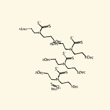 CCCCCCCCCCCCN(CCCCCCCCCCCC)C(=S)[S-].CCCCCCCCCCCCN(CCCCCCCCCCCC)C(=S)[S-].CCCCCCCCCCCCN(CCCCCCCCCCCC)C(=S)[S-].CCCCCCCCCCCCN(CCCCCCCCCCCC)C(=S)[S-].O=S.[Mo+4]